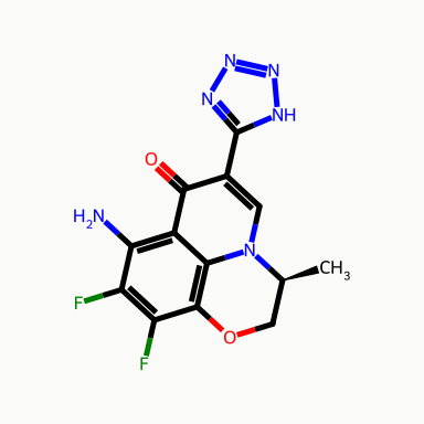 C[C@H]1COc2c(F)c(F)c(N)c3c(=O)c(-c4nnn[nH]4)cn1c23